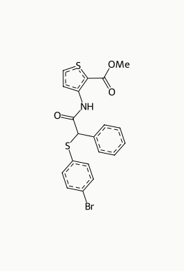 COC(=O)c1sccc1NC(=O)C(Sc1ccc(Br)cc1)c1ccccc1